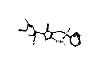 C=C/C(C)=C\C(=C(/C)F)C1CC(N)=C(CS(C)(C)c2ccccc2)C1=C